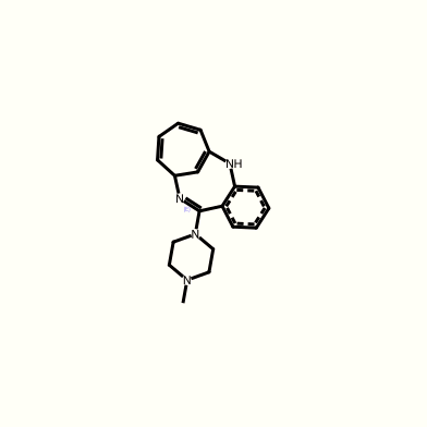 CN1CCN(/C2=N/C3C=CC=CC(=C3)Nc3ccccc32)CC1